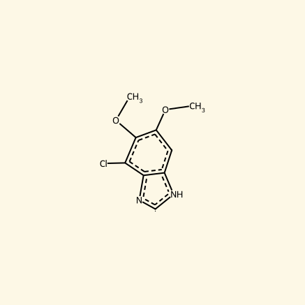 COc1cc2[nH][c]nc2c(Cl)c1OC